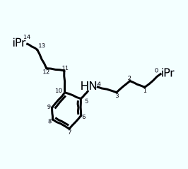 CC(C)CCCNc1ccccc1CCCC(C)C